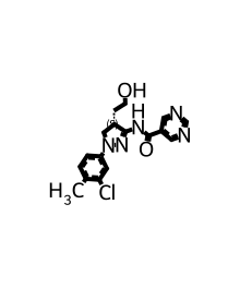 Cc1ccc(N2C[C@H](CCO)C(NC(=O)c3cncnc3)=N2)cc1Cl